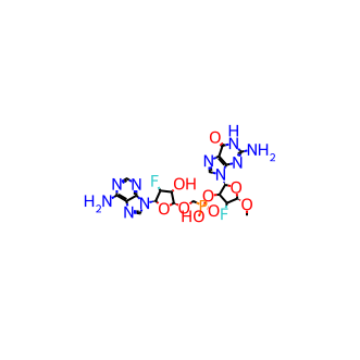 CO[C@H]1O[C@@H](n2cnc3c(=O)[nH]c(N)nc32)C(OP(=O)(O)CO[C@H]2O[C@@H](n3cnc4c(N)ncnc43)C(F)C2O)C1F